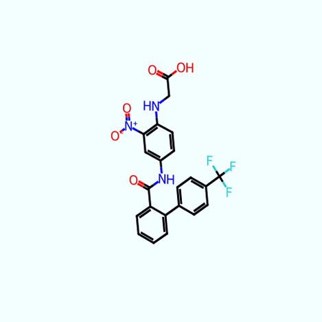 O=C(O)CNc1ccc(NC(=O)c2ccccc2-c2ccc(C(F)(F)F)cc2)cc1[N+](=O)[O-]